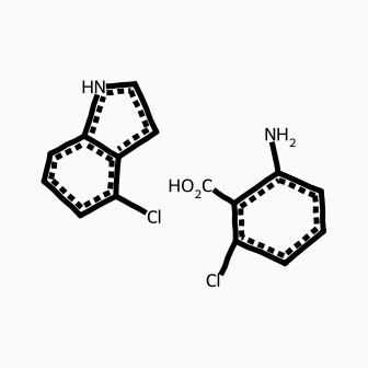 Clc1cccc2[nH]ccc12.Nc1cccc(Cl)c1C(=O)O